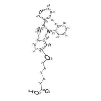 O=C(O)CCCCCOc1ccc2nc(-c3cccnc3)n(-c3ccccc3)c2c1